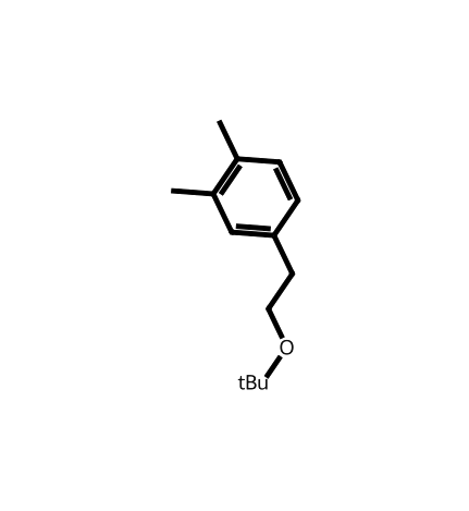 Cc1ccc(CCOC(C)(C)C)cc1C